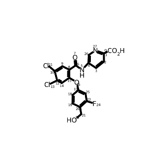 O=C(O)c1ccc(NC(=O)c2cc(Cl)c(Cl)cc2Oc2ccc(CO)c(F)c2)cn1